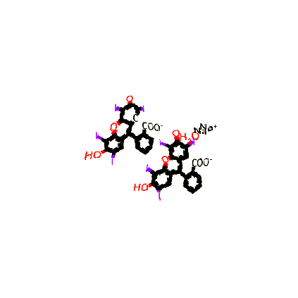 O.O=C([O-])c1ccccc1-c1c2cc(I)c(=O)c(I)c-2oc2c(I)c(O)c(I)cc12.O=C([O-])c1ccccc1-c1c2cc(I)c(=O)c(I)c-2oc2c(I)c(O)c(I)cc12.[Na+].[Na+]